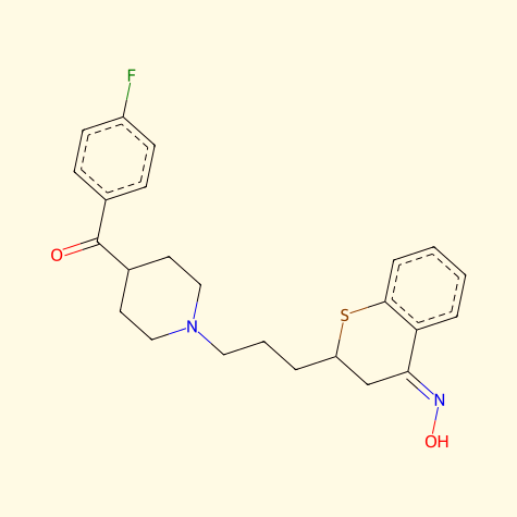 O=C(c1ccc(F)cc1)C1CCN(CCCC2CC(=NO)c3ccccc3S2)CC1